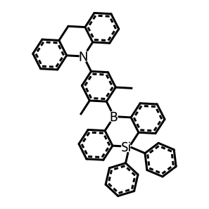 Cc1cc(N2c3ccccc3Cc3ccccc32)cc(C)c1B1c2ccccc2[Si](c2ccccc2)(c2ccccc2)c2ccccc21